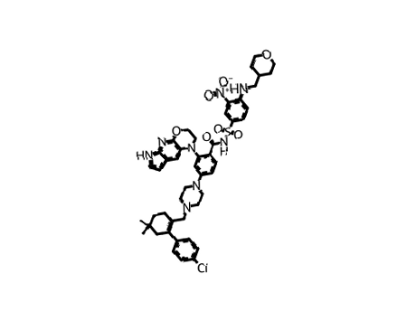 CC1(C)CCC(CN2CCN(c3ccc(C(=O)NS(=O)(=O)c4ccc(NCC5CCOCC5)c([N+](=O)[O-])c4)c(N4CCOc5nc6[nH]ccc6cc54)c3)CC2)=C(c2ccc(Cl)cc2)C1